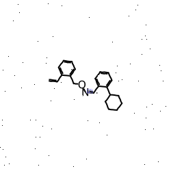 C=Cc1ccccc1CO/N=[C]\c1ccccc1C1CCCCC1